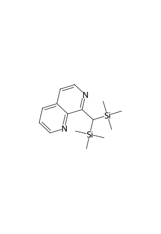 C[Si](C)(C)C(c1nccc2cccnc12)[Si](C)(C)C